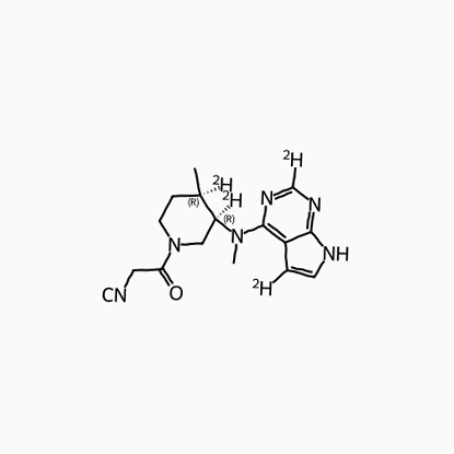 [2H]c1nc(N(C)[C@@]2([2H])CN(C(=O)C[N+]#[C-])CC[C@@]2([2H])C)c2c([2H])c[nH]c2n1